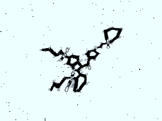 CCCCS(=O)(=O)c1ccc2c(C(=O)c3ccc(OCC[N+]4([O-])CCCCC4)cc3)c(-c3ccccc3S(=O)(=O)CCCC)sc2c1